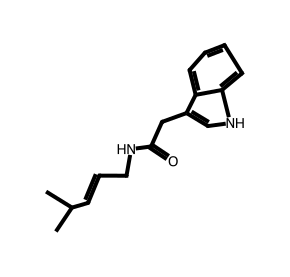 CC(C)/C=C/CNC(=O)Cc1c[nH]c2ccccc12